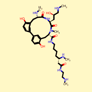 CNCCNC(=O)C[C@H](CCCCNC(=O)[C@@H]1Cc2cc(ccc2O)-c2ccc(O)c(c2)C[C@H](NC)C(=O)N[C@@H](C[C@@H](O)CNC)C(=O)N1C)NC